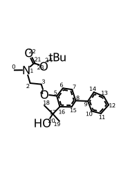 CN(CCOc1ccc(-c2ccccc2)cc1C(C)(C)O)C(=O)OC(C)(C)C